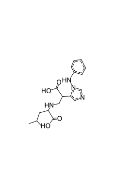 CC(C)CC(NCC(C(=O)O)c1cncn1Nc1ccccc1)C(=O)O